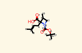 CC(C)=CCC1(C(=O)O)C(C)CN1C(=O)OC(C)(C)C